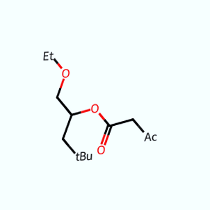 CCOCC(CC(C)(C)C)OC(=O)CC(C)=O